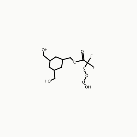 O=C(OCC1CC(CO)CC(CO)C1)C(F)(F)SOOO